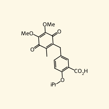 COC1=C(OC)C(=O)C(Cc2ccc(OC(C)C)c(C(=O)O)c2)=C(C)C1=O